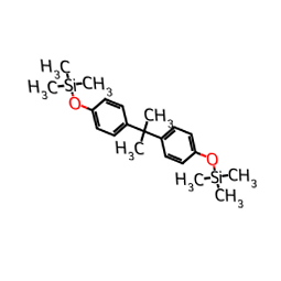 CC(C)(c1ccc(O[Si](C)(C)C)cc1)c1ccc(O[Si](C)(C)C)cc1